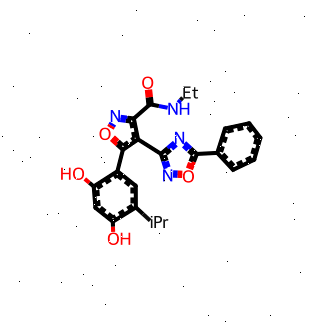 CCNC(=O)c1noc(-c2cc(C(C)C)c(O)cc2O)c1-c1noc(-c2ccccc2)n1